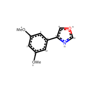 COc1cc(OC)cc(-c2co[c]n2)c1